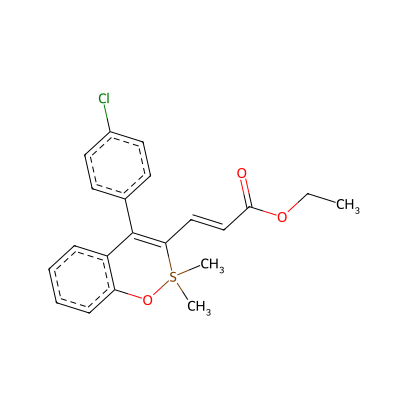 CCOC(=O)/C=C/C1=C(c2ccc(Cl)cc2)c2ccccc2OS1(C)C